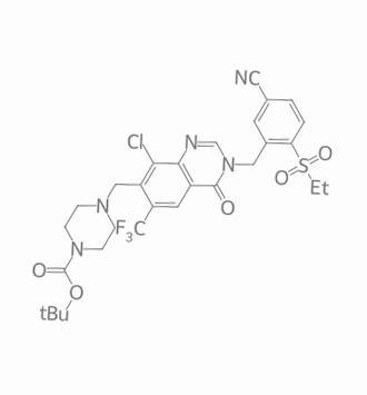 CCS(=O)(=O)c1ccc(C#N)cc1Cn1cnc2c(Cl)c(CN3CCN(C(=O)OC(C)(C)C)CC3)c(C(F)(F)F)cc2c1=O